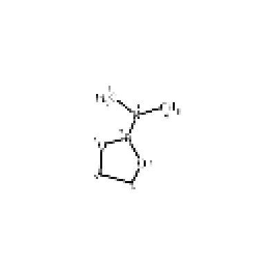 CN(C)B1OCCO1